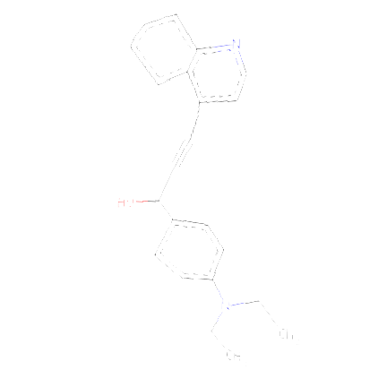 CCN(CC)c1ccc(C(O)C#Cc2ccnc3ccccc23)cc1